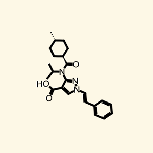 CC(C)N(c1nn(C=Cc2ccccc2)cc1C(=O)O)C(=O)[C@H]1CC[C@H](C)CC1